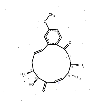 COc1ccc2c(c1)/C=C/C[C@H](C)[C@H](O)C(=O)/C=C\[C@@H](C)[C@H](C)OC2=O